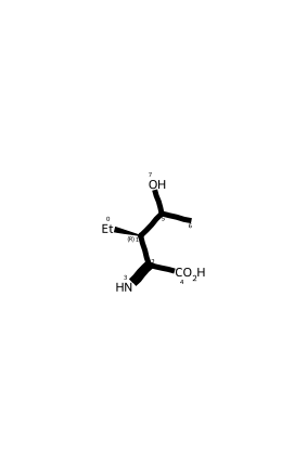 CC[C@H](C(=N)C(=O)O)C(C)O